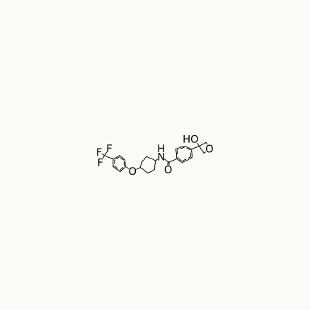 O=C(NC1CCC(Oc2ccc(C(F)(F)F)cc2)CC1)c1ccc(C2(O)COC2)cc1